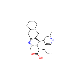 CCCC(C(=O)O)c1c(C)nc2c(c1C1C=CN=C(C)C1)CC1CCCCC1C2